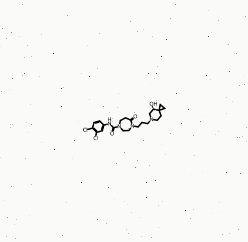 O=C1CCN(C(=O)Nc2ccc(Cl)c(Cl)c2)CCN1CCCN1CCC2(CC2)[C@H](O)C1